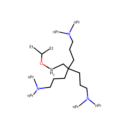 CCCN(CCC)CCCC(CCCN(CCC)CCC)(CCCN(CCC)CCC)C[SiH2]OC(CC)CC